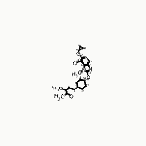 CC(=O)C(C)CC[C@H]1CC[C@H](Oc2nc3cnc(OC4CC4)c(Cl)c3n2C)CC1